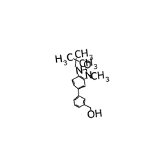 Cn1c(=O)n(CC(C)(C)C)c2ccc(-c3cccc(CO)c3)cc21